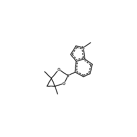 Cn1ccc2c(B3OC4(C)CC4(C)O3)cccc21